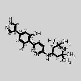 CC1(C)CC(Nc2ccc(-c3c(O)cc(-c4cn[nH]c4)cc3F)nn2)CC(C)(C)N1